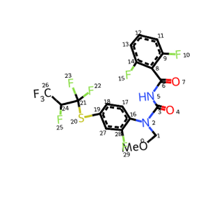 COCN(C(=O)NC(=O)c1c(F)cccc1F)c1ccc(SC(F)(F)C(F)C(F)(F)F)cc1F